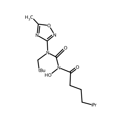 Cc1nc(N(CC(C)(C)C)C(=O)N(O)C(=O)CCCC(C)C)no1